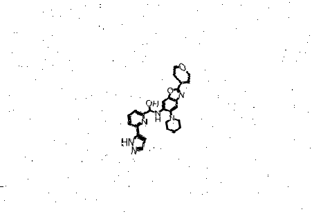 OC(Nc1cc2oc(C3CCOCC3)nc2cc1N1CCCCC1)c1cccc(-c2ccn[nH]2)n1